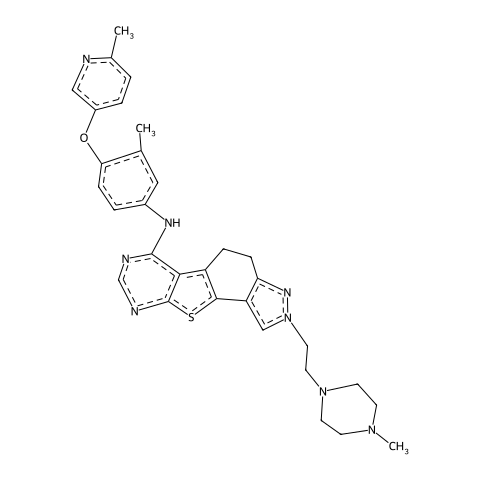 Cc1ccc(Oc2ccc(Nc3ncnc4sc5c(c34)CCc3nn(CCN4CCN(C)CC4)cc3-5)cc2C)cn1